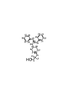 CC(C)(CO)CN1CCC(CN(Cc2ccccc2)Cc2ccccc2)CC1